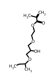 C=C(C)C(=O)OCCOCC(O)COC(C)CC